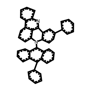 c1ccc(-c2ccc3c(c2)-c2nc4ccccc4c4cccc(c24)N3c2c3ccccc3c(-c3ccccc3)c3ccccc23)cc1